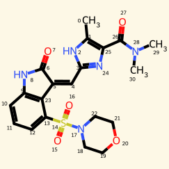 Cc1[nH]c(/C=C2\C(=O)Nc3cccc(S(=O)(=O)N4CCOCC4)c32)nc1C(=O)N(C)C